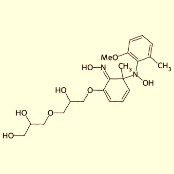 COc1cccc(C)c1N(O)C1(C)C=CC=C(OCC(O)COCC(O)CO)/C1=N\O